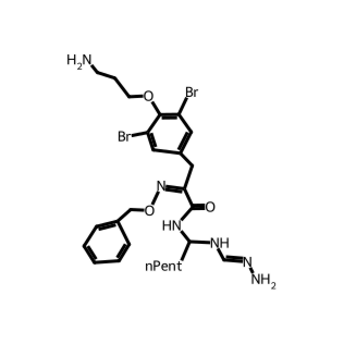 CCCCCC(NC=NN)NC(=O)C(Cc1cc(Br)c(OCCCN)c(Br)c1)=NOCc1ccccc1